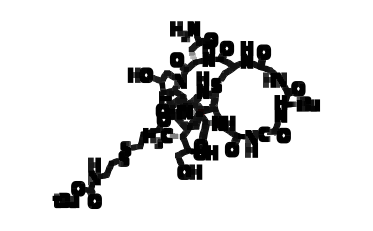 CC[C@H](C)[C@@H]1NC(=O)CNC(=O)C2Cc3c([nH]c4cc(OCCCSSCCNC(=O)OC(C)(C)C)ccc34)SCC(NC(=O)CNC1=O)C(=O)N[C@@H](CC(N)=O)C(=O)N1CC(O)C[C@H]1C(=O)N[C@@H]([C@@H](C)[C@@H](O)CO)C(=O)N2